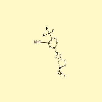 CN1CCC2(C1)CN(c1ccc(C(F)(F)F)c(C#N)c1)C2